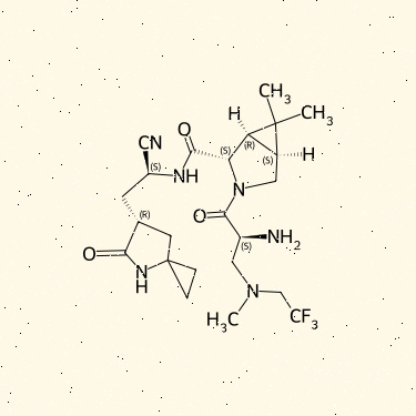 CN(C[C@H](N)C(=O)N1C[C@H]2[C@@H]([C@H]1C(=O)N[C@H](C#N)C[C@@H]1CC3(CC3)NC1=O)C2(C)C)CC(F)(F)F